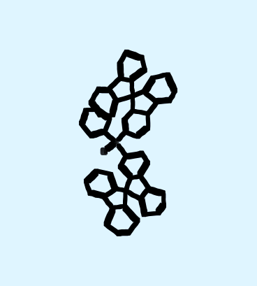 O=P(C1=CC2C(C=C1)c1ccccc1C21c2ccccc2-c2ccccc21)(c1ccccc1)c1ccc2c(c1)C1(c3ccccc3-c3ccccc31)c1ccccc1-2